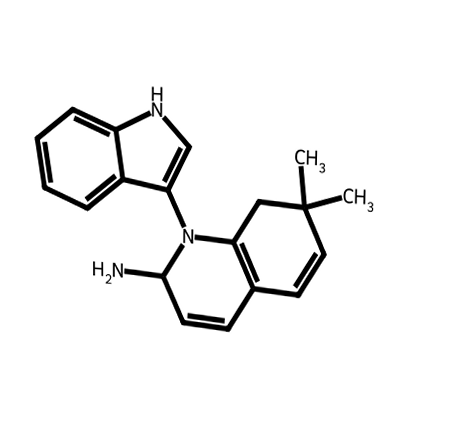 CC1(C)C=CC2=C(C1)N(c1c[nH]c3ccccc13)C(N)C=C2